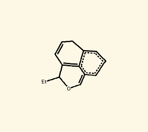 CCC1OC=c2cccc3c2=C1C=CC3